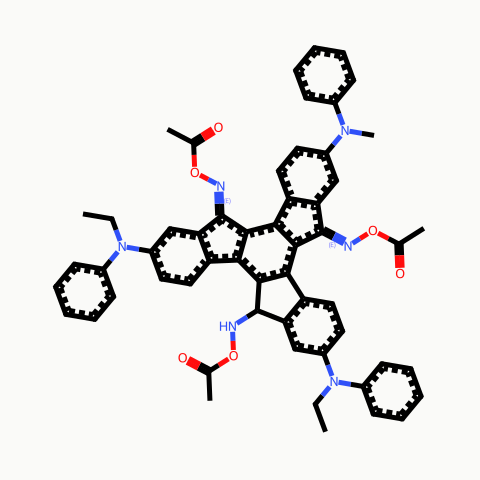 CCN(c1ccccc1)c1ccc2c(c1)C(NOC(C)=O)c1c-2c2/c(=N/OC(C)=O)c3cc(N(C)c4ccccc4)ccc3c2c2/c(=N/OC(C)=O)c3cc(N(CC)c4ccccc4)ccc3c12